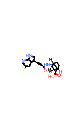 O=C(C#Cc1c[nH]c2ncc(F)cc12)N[C@H]1[C@H]2CC[C@H](CC2)[C@@H]1C(=O)O